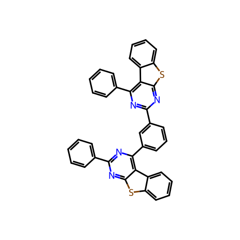 c1ccc(-c2nc(-c3cccc(-c4nc(-c5ccccc5)c5c(n4)sc4ccccc45)c3)c3c(n2)sc2ccccc23)cc1